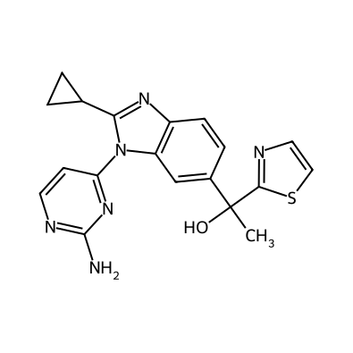 CC(O)(c1ccc2nc(C3CC3)n(-c3ccnc(N)n3)c2c1)c1nccs1